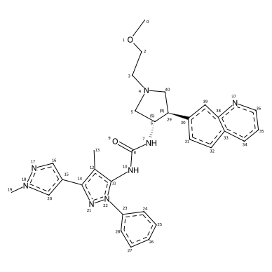 COCCN1C[C@@H](NC(=O)Nc2c(C)c(-c3cnn(C)c3)nn2-c2ccccc2)[C@H](c2ccc3cccnc3c2)C1